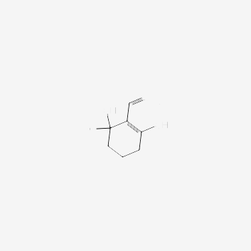 C=[C]C1=C(C)CCCC1(C)C